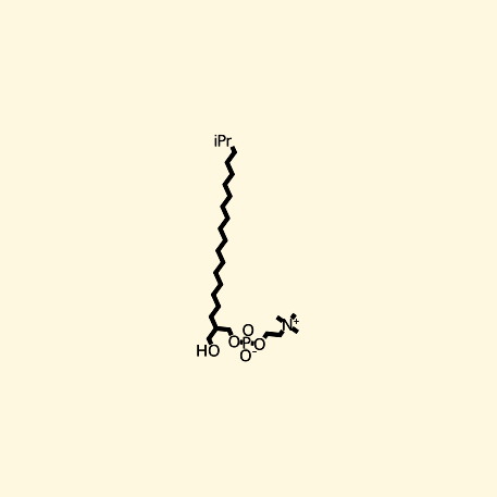 CC(C)CCCCCCCCCCCCCCCCC(CO)COP(=O)([O-])OCC[N+](C)(C)C